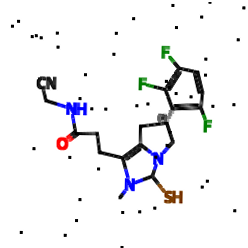 CN1C(CCC(=O)NCC#N)=C2C[C@H](c3c(F)ccc(F)c3F)CN2C1S